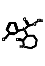 CC(C)(C)OC(=O)N(c1cccc(Cl)c1)C1CCCCNC1=O